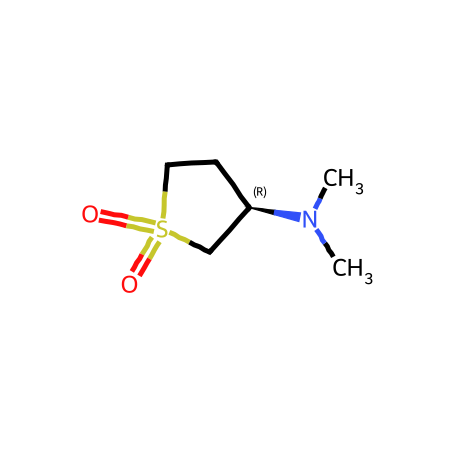 CN(C)[C@@H]1CCS(=O)(=O)C1